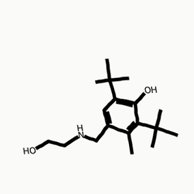 Cc1c(CNCCO)cc(C(C)(C)C)c(O)c1C(C)(C)C